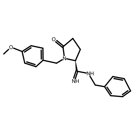 COc1ccc(CN2C(=O)CC[C@H]2C(=N)NCc2ccccc2)cc1